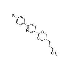 CCC=C[C@H]1CO[C@H](c2ccc(-c3ccc(F)cc3)nc2)OC1